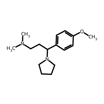 COc1ccc(C(CCN(C)C)N2CCCC2)cc1